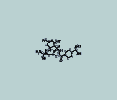 CCOC(O)C1CCN(C(=O)[C@H](CCCNC(=N)N)NS(=O)(=O)c2c(C(C)C)cc(C(C)C)cc2C(C)C)CC1